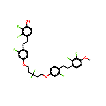 CCOc1ccc(CCc2ccc(OCCC(F)(F)CCOc3ccc(CCc4ccc(O)c(F)c4F)c(F)c3)cc2F)c(F)c1F